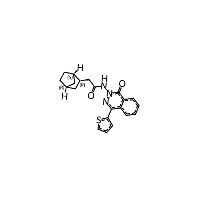 O=C(C[C@H]1C[C@@H]2CC[C@H]1C2)Nn1nc(-c2cccs2)c2ccccc2c1=O